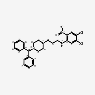 O=[N+]([O-])c1cc(Cl)c(Cl)cc1NCCCN1CCN(C(c2ccccc2)c2ccccc2)CC1